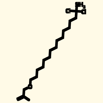 C=C(C)COCCCCCCCCCCCCCCC([SiH3])(Cl)Cl